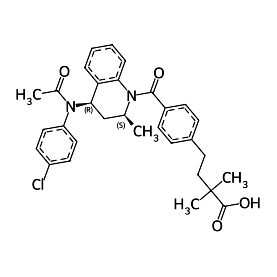 CC(=O)N(c1ccc(Cl)cc1)[C@@H]1C[C@H](C)N(C(=O)c2ccc(CCC(C)(C)C(=O)O)cc2)c2ccccc21